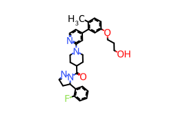 Cc1ccc(OCCCO)cc1-c1ccnc(N2CCC(C(=O)N3N=CCC3c3ccccc3F)CC2)c1